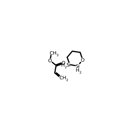 C1CO[SiH2][SiH2]C1.C=CC(=O)OC